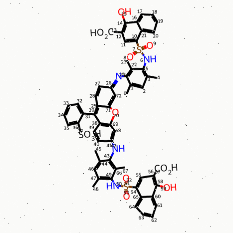 Cc1cc(C)c(NS(=O)(=O)c2cc(C(=O)O)c(O)c3ccccc23)c(C)c1/N=c1/ccc2c(-c3ccccc3S(=O)(=O)O)c3ccc(Nc4c(C)cc(C)c(NS(=O)(=O)c5cc(C(=O)O)c(O)c6ccccc56)c4C)cc3oc-2c1